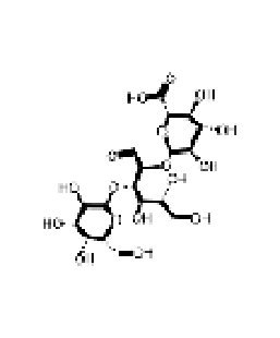 O=C[C@@H](O[C@@H]1O[C@H](C(=O)O)[C@@H](O)[C@H](O)[C@H]1O)[C@@H](O[C@H]1O[C@H](CO)[C@H](O)[C@H](O)[C@H]1O)[C@H](O)[C@H](O)CO